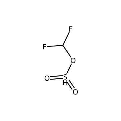 O=[SH](=O)OC(F)F